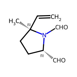 C=C[C@]1(C)CC[C@@H](C=O)N1C=O